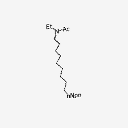 CCCCCCCCCCCCCCCCCCN(CC)C(C)=O